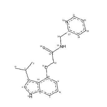 CC(C)c1c[nH]c2cccc(OCC(=O)NCc3ccccn3)c12